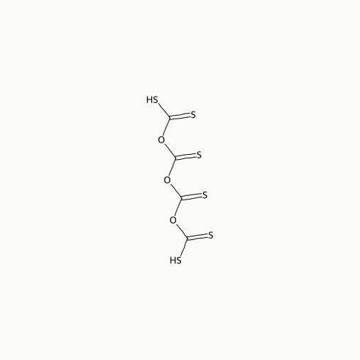 S=C(S)OC(=S)OC(=S)OC(=S)S